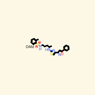 COc1cccc(C)c1S(=O)(=O)NCCCC(C)Nc1nc(-c2cc(-c3ccccc3)on2)cs1